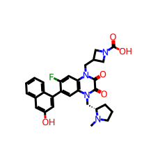 CN1CCC[C@H]1Cn1c(=O)c(=O)n(CC2CN(C(=O)O)C2)c2cc(F)c(-c3cc(O)cc4ccccc34)cc21